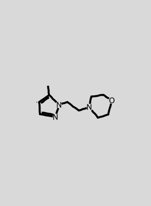 Cc1[c]cnn1CCN1CCOCC1